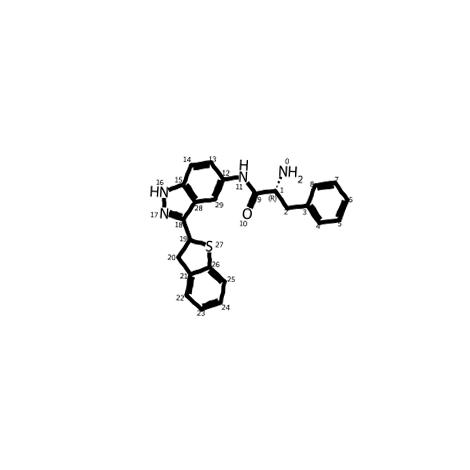 N[C@H](Cc1ccccc1)C(=O)Nc1ccc2[nH]nc(C3Cc4ccccc4S3)c2c1